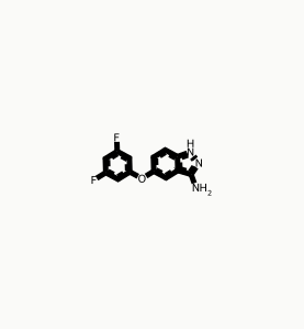 Nc1n[nH]c2ccc(Oc3cc(F)cc(F)c3)cc12